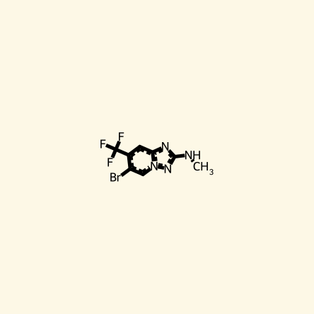 CNc1nc2cc(C(F)(F)F)c(Br)cn2n1